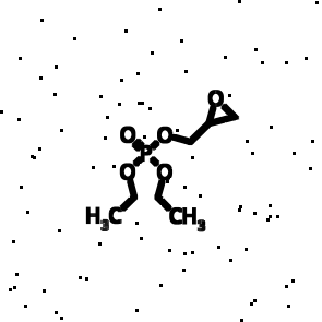 CCOP(=O)(OCC)OCC1CO1